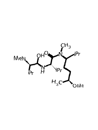 CN[C@H](C(C)C)C(O)N[C@H](C(=O)N(C)C(CC[C@H](C)OC)C(C)C)C(C)C